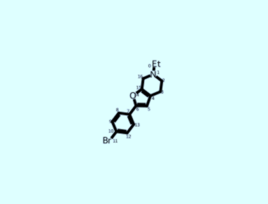 CCN1CCc2cc(-c3ccc(Br)cc3)oc2C1